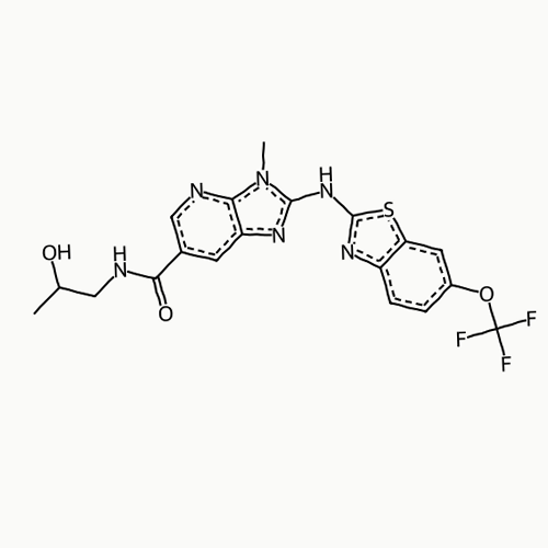 CC(O)CNC(=O)c1cnc2c(c1)nc(Nc1nc3ccc(OC(F)(F)F)cc3s1)n2C